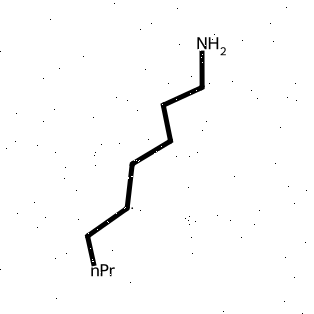 CCCC[CH]CCCCN